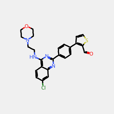 O=Cc1sccc1-c1ccc(-c2nc(NCCN3CCOCC3)c3ccc(Cl)cc3n2)cc1